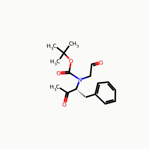 CC(=O)[C@@H](Cc1ccccc1)N(CC=O)C(=O)OC(C)(C)C